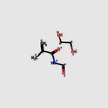 C=C(C)C(=O)NC=O.OCCO